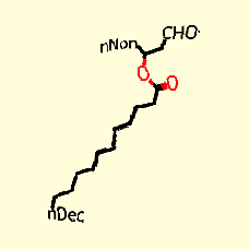 CCCCCCCCCCCCCCCCCCCCC(=O)OC(C[C]=O)CCCCCCCCC